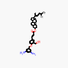 CCC(/C=C/C(C)C1CCC2C3CC=C4CC(OC(=O)/C=C/c5ccc(OCc6cc(N)cc(N)c6)c(CO)c5)CCC4(C)C3CCC12C)C(C)C